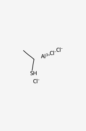 CCS.[Al+3].[Cl-].[Cl-].[Cl-]